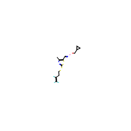 Cc1nc(SCCC(F)=C(F)F)sc1C=NOCC1CC1